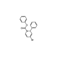 O=C(Oc1ccccc1)N1C=CC(Br)=CC1c1ccccc1